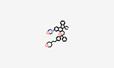 CCC1(CC)c2ccccc2-c2c1c1c(c3cc(N4CCOCC4)ccc23)OC(c2ccccc2)(c2ccc(CCC3CCCOCC3)cc2)CC1